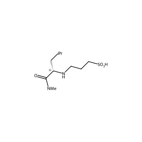 CNC(=O)[C@H](CC(C)C)NCCCS(=O)(=O)O